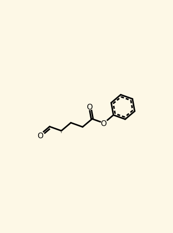 O=C[CH]CCC(=O)Oc1ccccc1